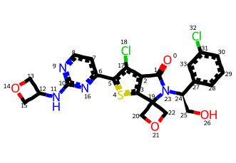 O=C1c2c(sc(-c3ccnc(NC4COC4)n3)c2Cl)C2(COC2)N1[C@H](CO)c1cccc(Cl)c1